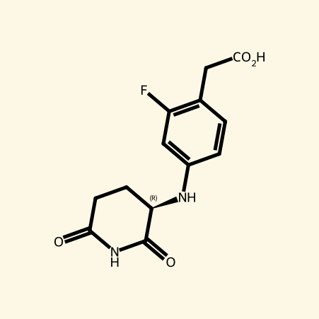 O=C(O)Cc1ccc(N[C@@H]2CCC(=O)NC2=O)cc1F